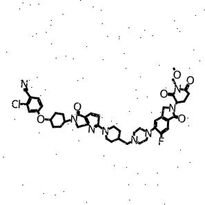 COCN1C(=O)CCC(N2Cc3cc(N4CCN(CC5CCN(c6ccc7c(n6)CN(C6CCC(Oc8ccc(C#N)c(Cl)c8)CC6)C7=O)CC5)CC4)c(F)cc3C2=O)C1=O